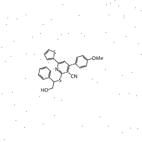 COc1ccc(-c2cc(-c3cccs3)nc(SC(CO)c3ccccc3)c2C#N)cc1